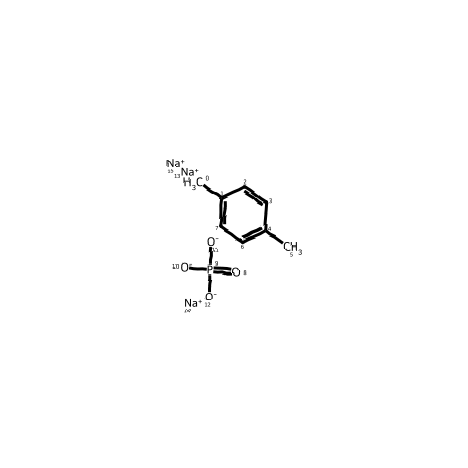 Cc1ccc(C)cc1.O=P([O-])([O-])[O-].[Na+].[Na+].[Na+]